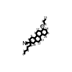 CCCCCC1(C#N)CCC2C(CCC3C2CCC2C(OCCC)CCCC23)C1